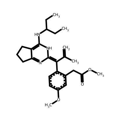 C=C(C)/C(=C1/N=C2CCCC2=C(NC(CC)CC)N1)c1ccc(OC)cc1CC(=O)OC